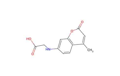 Cc1cc(=O)oc2cc(NCC(=O)O)ccc12